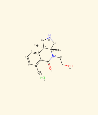 Cl.O=C1c2c(cccc2C(F)(F)F)[C@H]2CNC[C@@H]2N1CCO